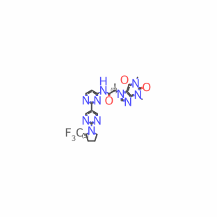 C[C@H](C(=O)Nc1ccnc(-c2cnc(N3CCC[C@H]3C(F)(F)F)nc2)n1)n1cnc2c1c(=O)n(C)c(=O)n2C